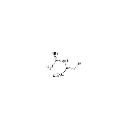 CCC=C(NC(=N)N)C(=O)OCC